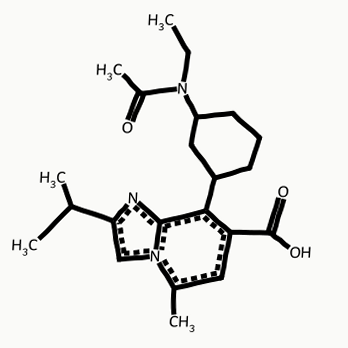 CCN(C(C)=O)C1CCCC(c2c(C(=O)O)cc(C)n3cc(C(C)C)nc23)C1